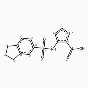 O=C(O)c1sccc1NS(=O)(=O)c1ccc2c(c1)CCC2